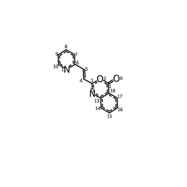 O=c1oc(C=Cc2ccccn2)nc2ccccc12